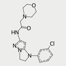 O=C(CN1CCOCC1)Nc1cc2n(n1)CCN2c1cccc(Cl)c1